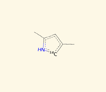 Cc1cc(C)[nH][14cH]1